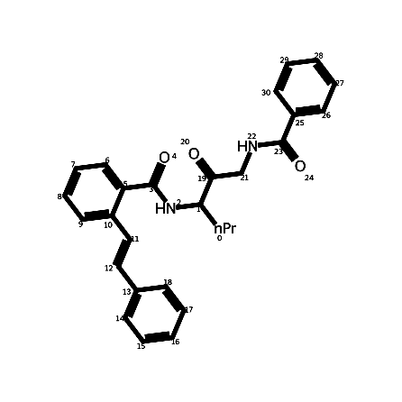 CCCC(NC(=O)c1ccccc1C=Cc1ccccc1)C(=O)CNC(=O)c1ccccc1